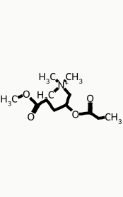 CCC(=O)OC(CCC(=O)OC)C[N+](C)(C)C